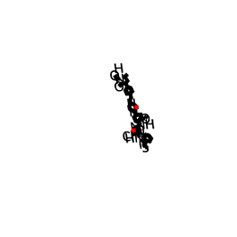 CCCC(C(=O)NC=O)c1ccc(CCN2CCN(c3ccc(Nc4ncc(Cl)c(Nc5ccccc5N(C)SC)n4)c(OC)c3)CC2)cc1